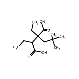 CCC(C(=O)O)C(CC)(CC(C)(C)C)C(=O)O